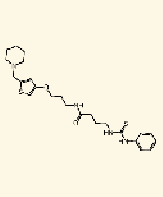 O=C(CCCNC(=S)Nc1ccccc1)NCCCOc1csc(CN2CCCCC2)c1